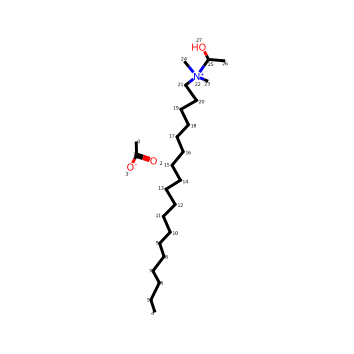 CC(=O)[O-].CCCCCCCCCCCCCCCCCC[N+](C)(C)C(C)O